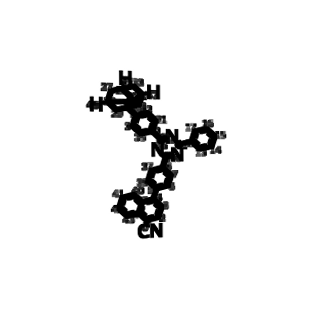 N#Cc1ccc(-c2ccc(-c3nc(-c4ccccc4)nc(-c4ccc(C56C[C@H]7C[C@@H](C5)C[C@@H](C6)C7)cc4)n3)cc2)c2ccccc12